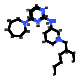 CCCCC(CC)CN1CCCC(Nc2nccc(N3CCCCCC3)n2)C1